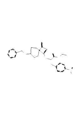 CCOC(=O)[C@H](Cc1ccc([N+](=O)[O-])cc1)NC1=CC(=O)C12CCC(OCc1ccccc1)CC2